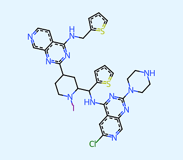 Clc1cc2c(NC(c3cccs3)C3CC(c4nc(NCc5cccs5)c5ccncc5n4)CCN3I)nc(N3CCNCC3)nc2cn1